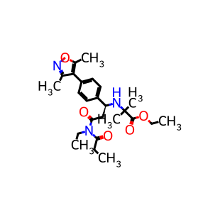 CCOC(=O)C(C)(C)N[C@@H](CC(=O)N(CC)C(=O)CC)c1ccc(-c2c(C)noc2C)cc1